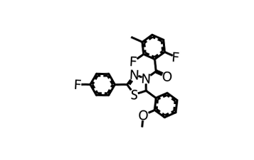 COc1ccccc1C1SC(c2ccc(F)cc2)=NN1C(=O)c1c(F)ccc(C)c1F